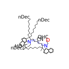 CCCCCCCCCCCCCCCCCCC1(CCCCCCCCCCCCCCCCCC)C(/C=C/C(C#N)=C/C=C2/N(CCOC=O)c3c(ccc4ccccc34)C2(C)CCCCCCCCCCCCCCCCCC)=[N+](CCC(=O)O)c2c1ccc1ccccc21